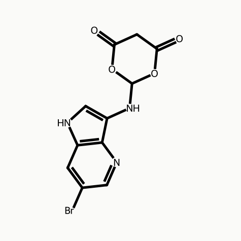 O=C1CC(=O)OC(Nc2c[nH]c3cc(Br)cnc23)O1